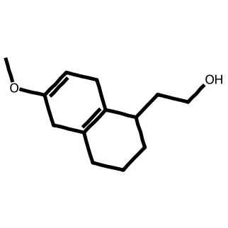 COC1=CCC2=C(CCCC2CCO)C1